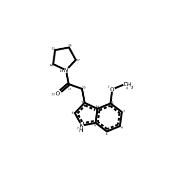 COc1cccc2[nH]cc(CC(=O)N3CCCC3)c12